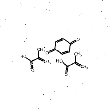 C=C(C)C(=O)O.C=C(C)C(=O)O.O=C1C=CC(=O)C=C1